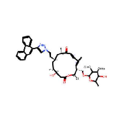 CC[C@H]1OC(=O)C[C@@H](O)[C@H](C)C[C@@H](CCn2cc(-c3cc4ccccc4c4ccccc34)nn2)C[C@@H](C)C(=O)/C=C/C(C)=C/[C@@H]1COC1OC(C)C(O)C(OC)C1OC